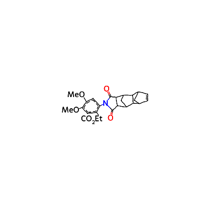 CCOC(=O)c1cc(OC)c(OC)cc1N1C(=O)C2C3CC(C2C1=O)C1C2C=CC(C2)C31